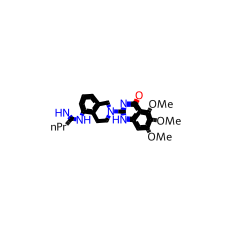 CCCC(=N)Nc1cccc2c1CCN(c1nc(=O)c3c(OC)c(OC)c(OC)cc3[nH]1)C2